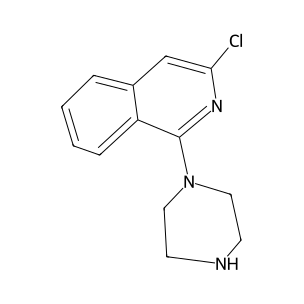 Clc1cc2ccccc2c(N2CCNCC2)n1